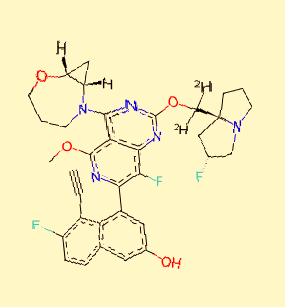 [2H]C([2H])(Oc1nc(N2CCCO[C@@H]3C[C@@H]32)c2c(OC)nc(-c3cc(O)cc4ccc(F)c(C#C)c34)c(F)c2n1)[C@@]12CCCN1C[C@H](F)C2